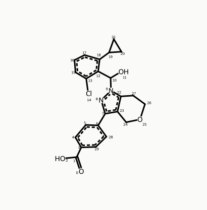 O=C(O)c1ccc(-c2nn(C(O)c3c(Cl)cccc3C3CC3)c3c2COCC3)cc1